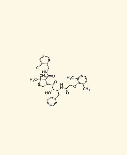 Cc1cccc(C)c1OCC(=O)N[C@@H](Cc1ccccc1)[C@H](O)C(=O)N1CSC(C)(C)[C@H]1C(=O)NCc1ccccc1Cl